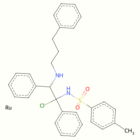 Cc1ccc(S(=O)(=O)NC(Cl)(c2ccccc2)C(NCCCc2ccccc2)c2ccccc2)cc1.[Ru]